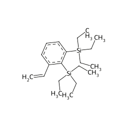 C=Cc1cccc([Si](CC)(CC)CC)c1[Si](CC)(CC)CC